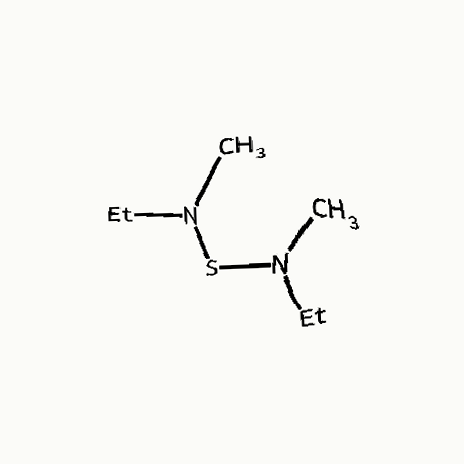 CCN(C)SN(C)CC